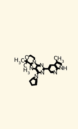 Cc1c[nH]c2ncc(-c3nc(N4C5=CCCC54)c4nc5n(c4n3)CCOC5(C)C)cc12